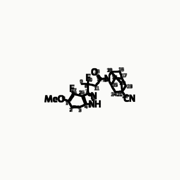 COc1ccc2[nH]nc(C(C)(F)CC(=O)N3C4CC5CC3CC(C#N)(C5)C4)c2c1F